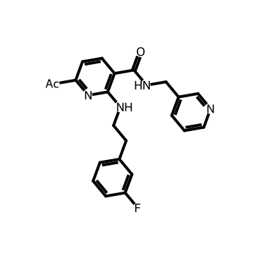 CC(=O)c1ccc(C(=O)NCc2cccnc2)c(NCCc2cccc(F)c2)n1